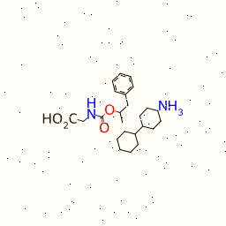 C1CCC(C2CCCCC2)CC1.CC(Cc1ccccc1)OC(=O)NCC(=O)O.N